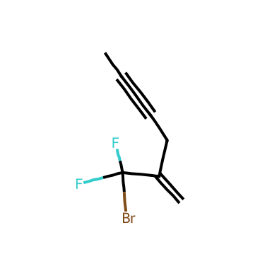 C=C(CC#CC)C(F)(F)Br